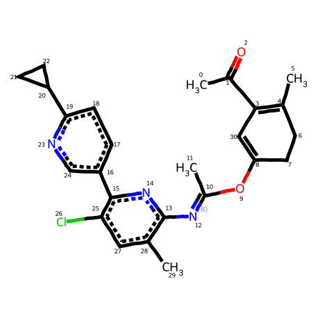 CC(=O)C1=C(C)CCC(O/C(C)=N/c2nc(-c3ccc(C4CC4)nc3)c(Cl)cc2C)=C1